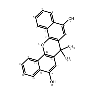 CC1(C)c2cc(O)c3ccccc3c2Oc2c1cc(O)c1ccccc21